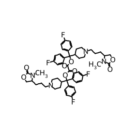 CN1C(=O)OCC1CCCN1CCC(C(OC(=O)C(=O)OC(c2ccc(F)cc2)(c2ccc(F)cc2)C2CCN(CCCC3COC(=O)N3C)CC2)(c2ccc(F)cc2)c2ccc(F)cc2)CC1